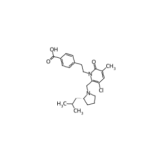 Cc1cc(Cl)c(CN2CCC[C@@H]2CC(C)C)n(CCc2ccc(C(=O)O)cc2)c1=O